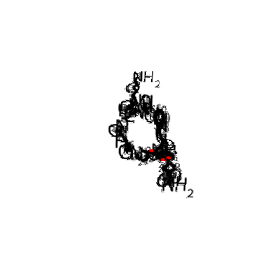 NCCOCCNC(=O)[C@@H]1CCNC(=O)/C=C/C(=O)N2CCC[C@](Cc3ccccc3)(C2)C(=O)N[C@@H](Cc2ccc(-c3ccc(S(N)(=O)=O)cc3)cc2)C(=O)NCc2ccccc2CC(=O)N1